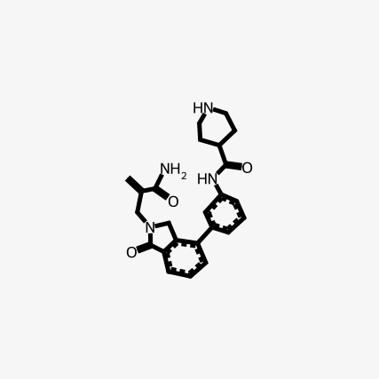 C=C(CN1Cc2c(cccc2-c2cccc(NC(=O)C3CCNCC3)c2)C1=O)C(N)=O